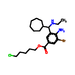 CCNC(c1cc(C(=O)OCCCCCCl)cc(Br)c1N)C1CCCCCC1